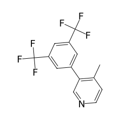 Cc1ccncc1-c1cc(C(F)(F)F)cc(C(F)(F)F)c1